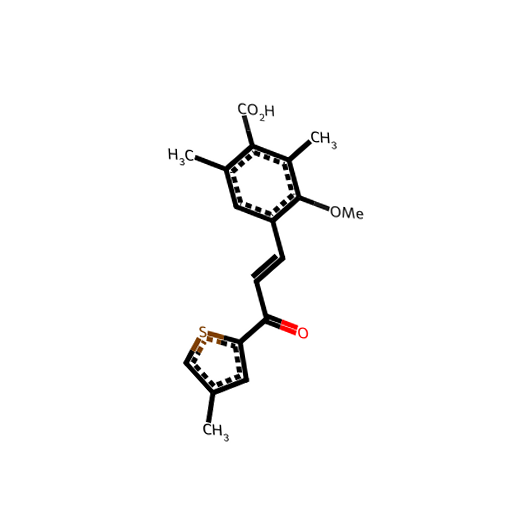 COc1c(C=CC(=O)c2cc(C)cs2)cc(C)c(C(=O)O)c1C